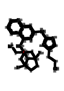 N#CCCN1[C@@H]2CC[C@H]1C[C@H](Nc1nc(Nc3ncc(CCO)s3)cc3ncccc13)C2